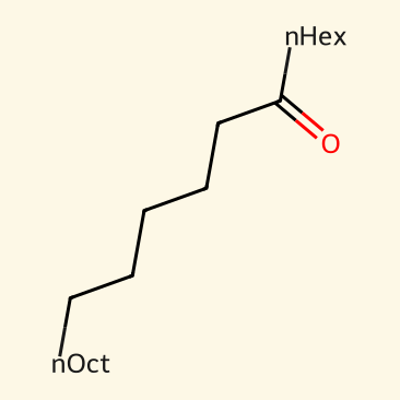 CCCCCCCCCCCCCC(=O)CCCCCC